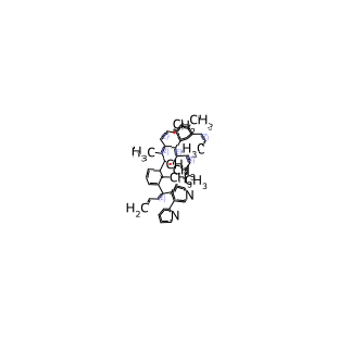 C=C\C=C/C(=C(\C)C(C)C1C=CC=C(/C(=C\C=C)c2ccncc2-c2ccccn2)C1C)C(=C(/C=C\CC)CC)/c1ccc(C)c(/C=C\C)c1